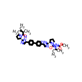 COC(=O)NN(C(=O)N1CCC[C@H]1c1ncc(-c2ccc(-c3ccc(-c4cnc([C@@H]5CCCN5C(=O)[C@@H](C)C(C)C)[nH]4)cc3)cc2)[nH]1)C(C)C